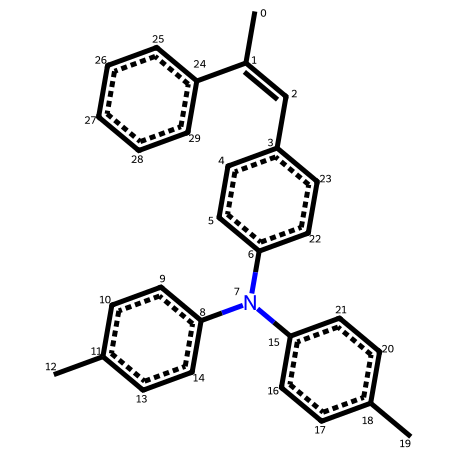 C/C(=C/c1ccc(N(c2ccc(C)cc2)c2ccc(C)cc2)cc1)c1ccccc1